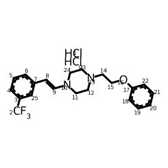 Cl.Cl.FC(F)(F)c1cccc(C=CN2CCN(CCOc3ccccc3)CC2)c1